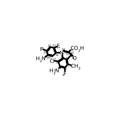 Cc1c(F)c(N)c(Cl)c2c1c(=O)c(C(=O)O)cn2-c1cc(N)c(F)cc1F